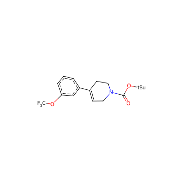 CC(C)(C)OC(=O)N1CC=C(c2cccc(OC(F)(F)F)c2)CC1